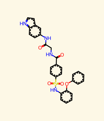 O=C(CNC(=O)c1ccc(S(=O)(=O)Nc2ccccc2Oc2ccccc2)cc1)Nc1ccc2[nH]ccc2c1